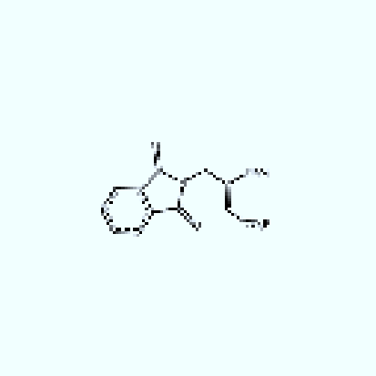 CCOC(=O)C=C(CN1C(=O)c2ccccc2C1=O)NC